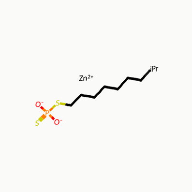 CC(C)CCCCCCCSP([O-])([O-])=S.[Zn+2]